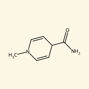 CN1C=CC(C(N)=O)C=C1